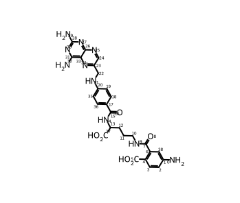 Nc1ccc(C(=O)O)c(C(=O)NCCCC(NC(=O)c2ccc(NCc3cnc4nc(N)nc(N)c4n3)cc2)C(=O)O)c1